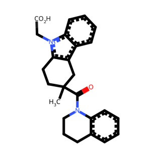 CC1(C(=O)N2CCCc3ccccc32)CCc2c(c3ccccc3n2CC(=O)O)C1